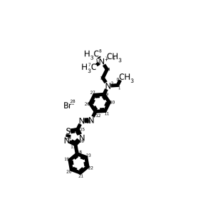 CCN(CC[N+](C)(C)C)c1ccc(N=Nc2nc(-c3ccccc3)ns2)cc1.[Br-]